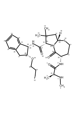 CN[C@@H](C)C(=O)N[C@H]1CCS[C@H]2CC(C)(C)[C@@H](C(=O)N[C@H]3c4ccccc4C[C@H]3OCCF)N2C1=O